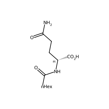 CCCCCCC(=O)N[C@H](CCC(N)=O)C(=O)O